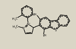 Cc1ccccc1[N+]1=[N+](C)C=CC1c1c(C(C)C)cc2c(sc3ccccc32)c1C(C)C